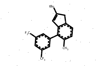 Cc1ccc2c(c1-c1cc(C(F)(F)F)cc(C(F)(F)F)c1)C=C(C(C)(C)C)[CH]2